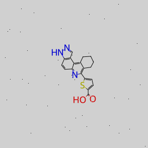 O=C(O)c1ccc(-c2nc3ccc4[nH]ncc4c3c3c2CCCC3)s1